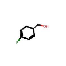 OC[C@H]1C=CC(F)=CC1